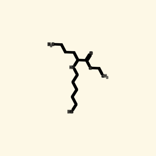 CCCCC(NCCCCCO)C(=O)OCC